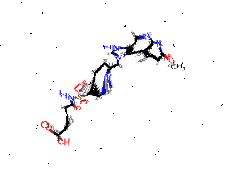 COc1ccc2c(ncc3[nH]c[n+](Cc4ccc(S(=O)(=O)NC(=O)CCC(=O)O)cn4)c32)n1